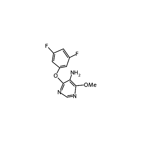 COc1ncnc(Oc2cc(F)cc(F)c2)c1N